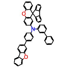 c1ccc(-c2cccc(N(c3ccc(-c4ccc5c(c4)oc4ccccc45)cc3)c3ccc4c(c3)C3(c5ccccc5O4)c4ccccc4-c4ccccc43)c2)cc1